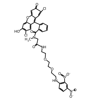 CN(CC(=O)NCCOCCOCCNc1ccc([N+](=O)[O-])cc1[N+](=O)[O-])C(=O)c1ccccc1-c1c2cc(Cl)c(=O)cc-2oc2cc(O)c(Cl)cc12